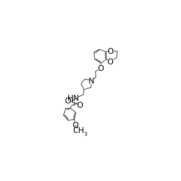 COc1cccc(S(=O)(=O)NCC2CCN(CCOc3cccc4c3OCCO4)C2)c1